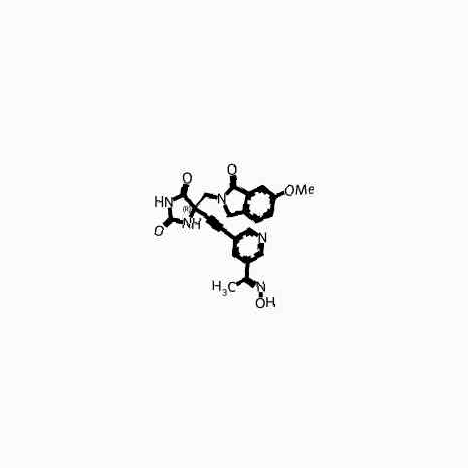 COc1ccc2c(c1)C(=O)N(C[C@@]1(C#Cc3cncc(C(C)=NO)c3)NC(=O)NC1=O)C2